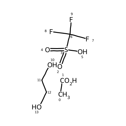 CC(=O)O.O=S(=O)(O)C(F)(F)F.OCCO